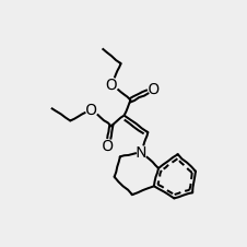 CCOC(=O)C(=CN1CCCc2ccccc21)C(=O)OCC